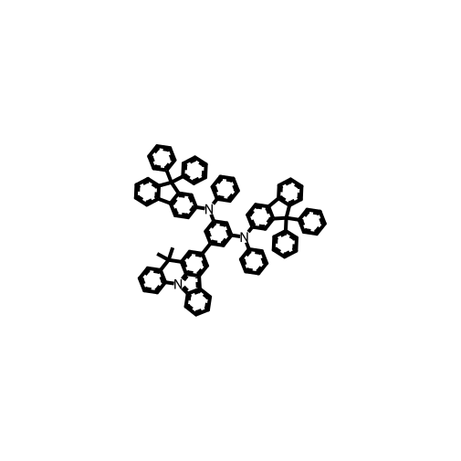 CC1(C)c2ccccc2-n2c3ccccc3c3cc(-c4cc(N(c5ccccc5)c5ccc6c(c5)C(c5ccccc5)(c5ccccc5)c5ccccc5-6)cc(N(c5ccccc5)c5ccc6c(c5)C(c5ccccc5)(c5ccccc5)c5ccccc5-6)c4)cc1c32